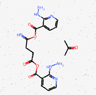 CC(C)=O.N=C(CCC(=O)OC(=O)c1cccnc1NN)OC(=O)c1cccnc1NN